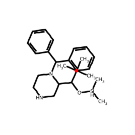 C[SiH](C)OC(C1CNCCN1C(c1ccccc1)c1ccccc1)C(C)(C)C